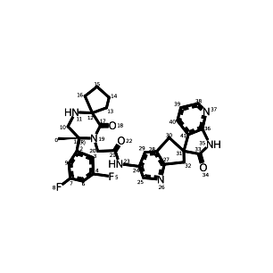 C[C@@]1(c2cc(F)cc(F)c2)CNC2(CCCC2)C(=O)N1CC(=O)Nc1cnc2c(c1)CC1(C2)C(=O)Nc2ncccc21